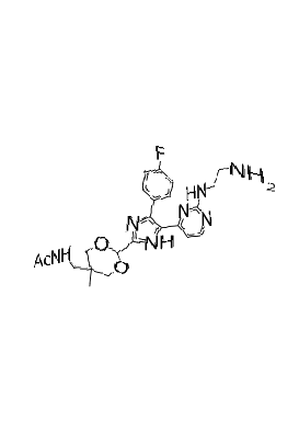 CC(=O)NCC1(C)COC(c2nc(-c3ccc(F)cc3)c(-c3ccnc(NCCN)n3)[nH]2)OC1